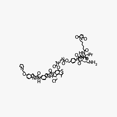 Cc1csc2c(OC(=O)N(C)CCN(C)C(=O)OCc3ccc(N(C(N)=O)C(=O)[C@H](CCCN)NC(=O)[C@@H](NC(=O)CCCCCN4C(=O)C=CC4=O)C(C)C)cc3)cc3c(c12)[C@H](CCl)CN3C(=O)c1cc2cc(NC(=O)c3cc4cc(OCCN5CCCC5)ccc4[nH]3)ccc2[nH]1